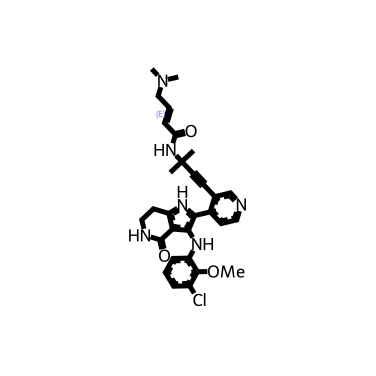 COc1c(Cl)cccc1Nc1c(-c2ccncc2C#CC(C)(C)NC(=O)/C=C/CN(C)C)[nH]c2c1C(=O)NCC2